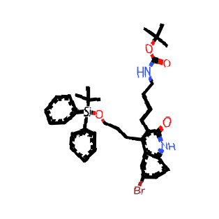 CC(C)(C)OC(=O)NCCCCc1c(CCCO[Si](c2ccccc2)(c2ccccc2)C(C)(C)C)c2cc(Br)ccc2[nH]c1=O